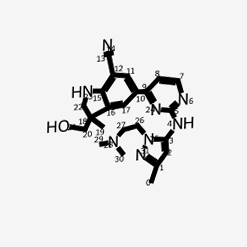 Cc1cc(Nc2nccc(-c3cc(C#N)c4c(c3)C(C)(CO)CN4)n2)n(CCN(C)C)n1